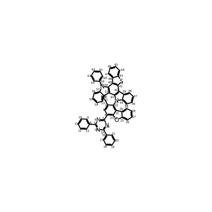 N#Cc1cc(-c2nc(-c3ccccc3)nc(-c3ccccc3)n2)c2oc3ccccc3c2c1-n1c2ccccc2c2c3sc4ccccc4c3c3c(c4ccccc4n3-c3ccccc3)c21